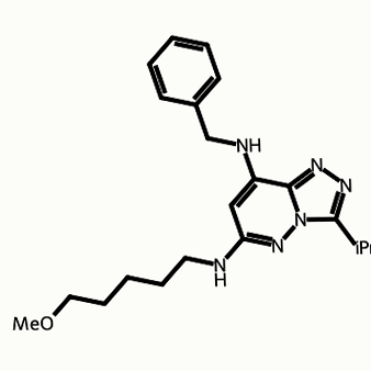 COCCCCCNc1cc(NCc2ccccc2)c2nnc(C(C)C)n2n1